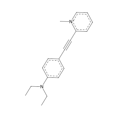 CCN(CC)c1ccc(C#Cc2cccc[n+]2C)cc1